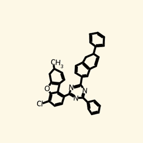 CC1C=Cc2c(oc3c(Cl)ccc(-c4nc(-c5ccccc5)nc(-c5ccc6c(c5)C=CC(c5ccccc5)C6)n4)c23)C1